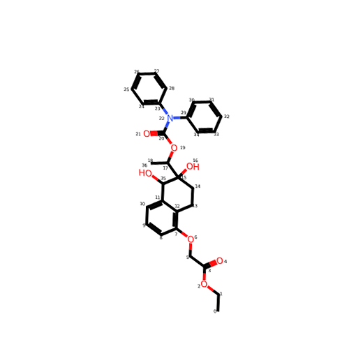 CCOC(=O)COc1cccc2c1CCC(O)(C(C)OC(=O)N(c1ccccc1)c1ccccc1)C2O